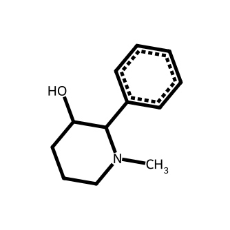 CN1CCCC(O)C1c1ccccc1